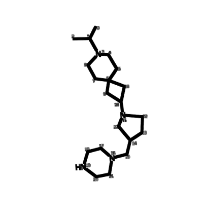 CC(C)N1CCC2(CC1)CC(N1CCC(CN3CCNCC3)C1)C2